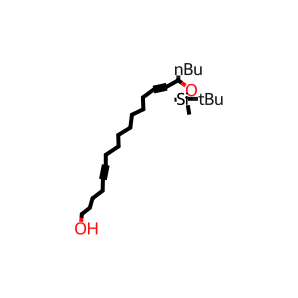 CCCCC(C#CCCCCCCCC#CCCCCO)O[Si](C)(C)C(C)(C)C